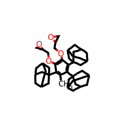 Cc1c(C23CC4CC(CC(C4)C2)C3)c(OCC2CO2)c(OCC2CO2)c(C23CC4CC(CC(C4)C2)C3)c1C12CC3CC(CC(C3)C1)C2